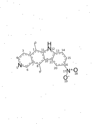 Cc1c2ccncc2c(C)c2c1[nH]c1ccc([N+](=O)[O-])cc12